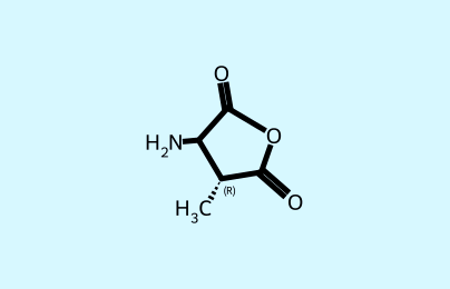 C[C@H]1C(=O)OC(=O)C1N